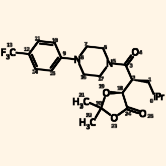 CC(C)C[C@H](C(=O)N1CCN(c2ccc(C(F)(F)F)cc2)CC1)[C@@H]1OC(C)(C)OC1=O